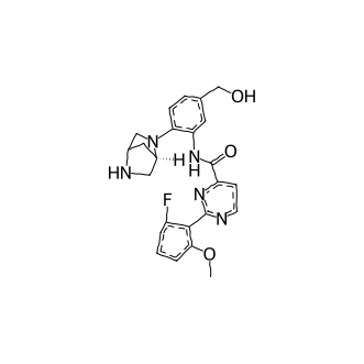 COc1cccc(F)c1-c1nccc(C(=O)Nc2cc(CO)ccc2N2CC3C[C@@H]2CN3)n1